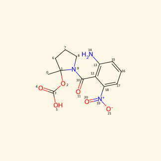 CC1(OC(=O)O)CCCN1C(=O)c1c(N)cccc1[N+](=O)[O-]